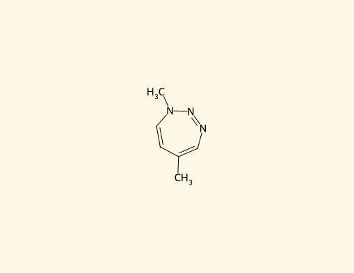 CC1=CN=NN(C)C=C1